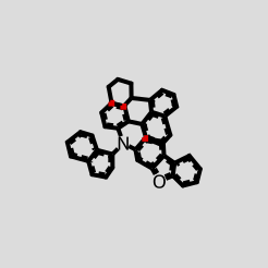 c1ccc(N(c2ccc3c(c2)oc2ccccc23)c2cccc3ccccc23)c(-c2cccc3cccc(C4CCCCC4)c23)c1